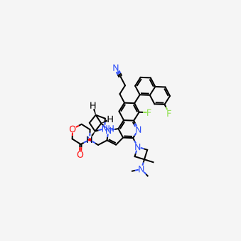 CN(C)C1(C)CN(c2nc3c(F)c(-c4cccc5ccc(F)cc45)c(CCC#N)cc3c3c2cc(CN2CCOCC2=O)n3[C@H]2[C@H]3CN[C@@H]2C3)C1